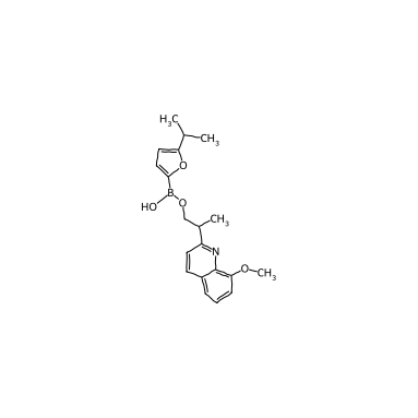 COc1cccc2ccc(C(C)COB(O)c3ccc(C(C)C)o3)nc12